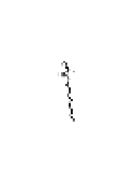 CCCCCCCCCNC(=O)Cl